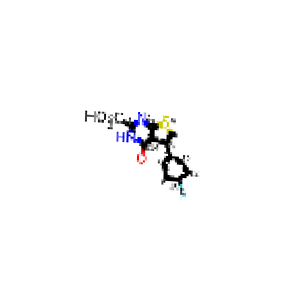 O=C(O)c1nc2scc(-c3ccc(F)cc3)c2c(=O)[nH]1